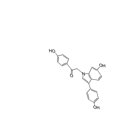 O=C(Cn1cc(-c2ccc(O)cc2)c2ccc(O)cc21)c1ccc(O)cc1